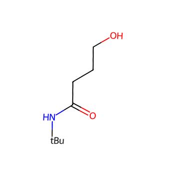 CC(C)(C)NC(=O)CCCO